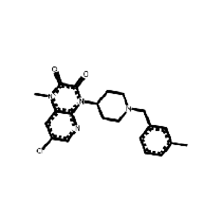 Cc1cccc(CN2CCC(n3c(=O)c(=O)n(C)c4cc(Cl)cnc43)CC2)c1